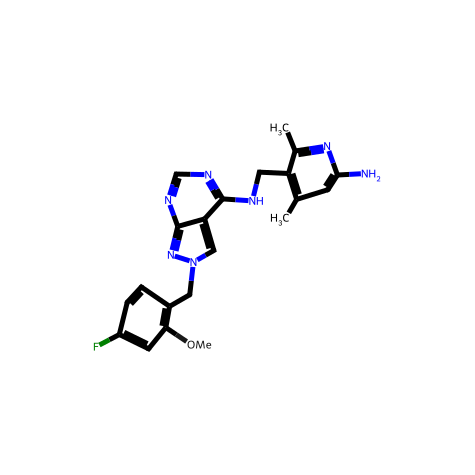 COc1cc(F)ccc1Cn1cc2c(NCc3c(C)cc(N)nc3C)ncnc2n1